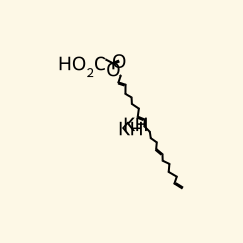 C=CCCCCC=CCCCCC=CCCCCC=CCOC(=O)CC(=O)O.[KH].[KH]